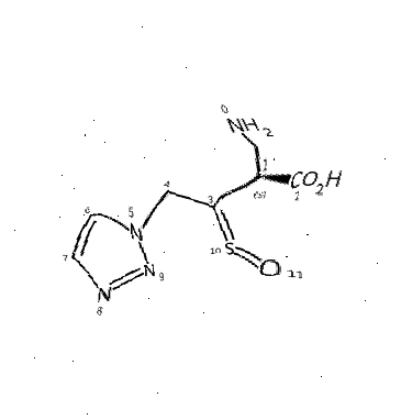 N[C@@H](C(=O)O)C(Cn1ccnn1)=S=O